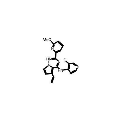 C=Cc1cc[nH]c1/C(=N\C(=N)c1cccc(OC)n1)Nc1ccncc1F